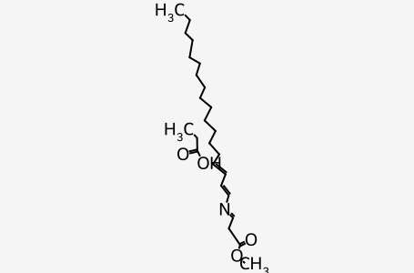 CCC(=O)O.CCCCCCCCCCCCCCC=CC=CN=CCC(=O)OC